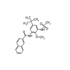 COc1c(NC(=O)c2ccc3ccccc3c2)cc(C(C)(C)C)cc1NS(C)(=O)=O